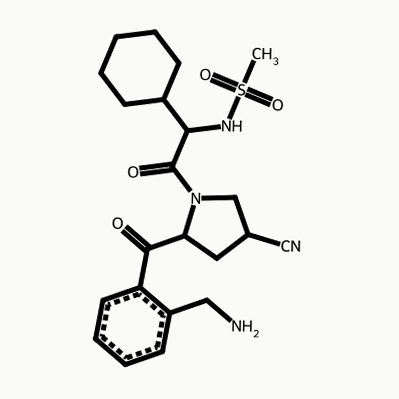 CS(=O)(=O)NC(C(=O)N1CC(C#N)CC1C(=O)c1ccccc1CN)C1CCCCC1